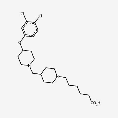 O=C(O)CCCCCN1CCC(CN2CCC(Oc3ccc(Cl)c(Cl)c3)CC2)CC1